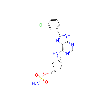 NS(=O)(=O)OC[C@H]1CC[C@H](Nc2ncnc3[nH]c(-c4cccc(Cl)c4)nc23)C1